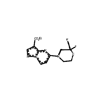 CCOC(=O)c1cnn2ccc(N3CCOC(F)(F)C3)nc12